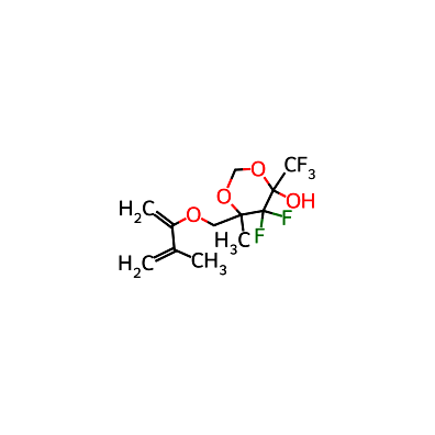 C=C(C)C(=C)OCC1(C)OCOC(O)(C(F)(F)F)C1(F)F